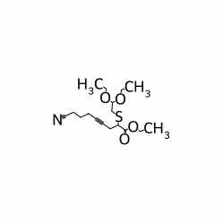 CCOC(=O)C(CC#CCCCC#N)SCC(OCC)OCC